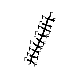 FC(F)(F)C(F)(F)C(F)(F)C(F)(F)C(F)(F)C(F)(F)C(F)(F)C(F)(F)C(F)(F)F